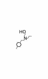 CCCN(CCO)CCc1ccc(C)cc1